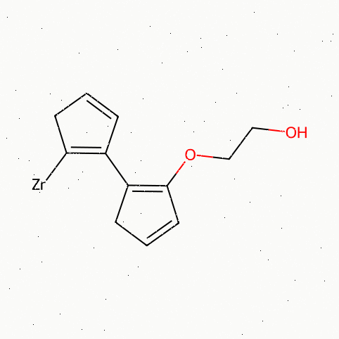 OCCOC1=C(C2=[C]([Zr])CC=C2)CC=C1